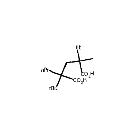 CCCC(CC(C)(CC)C(=O)O)(C(=O)O)C(C)(C)C